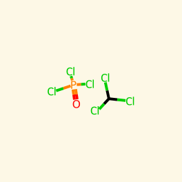 ClC(Cl)Cl.O=P(Cl)(Cl)Cl